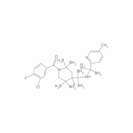 BC(B)(NC(B)(B)C1(F)CC(B)(B)N(C(=O)c2ccc(F)c(Cl)c2)CC1(B)B)c1ccc(C)cn1